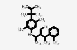 C=C(Nc1cc(C)c(C(C)(C)C(=C)C)cc1C(C)(C)C)/C(=C/C)C(=C)c1ccccc1C